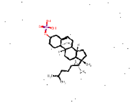 CC(C)CCC[C@@H](C)[C@@]1(C)CC[C@H]2C3CC=C4C[C@H](OP(=O)(O)O)CC[C@]4(C)[C@H]3CC[C@@]21C